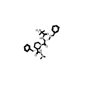 CN(C)NC(=O)[C@@]1(Cc2ccccc2)CCCN(C(=O)[C@@H](COCc2ccccc2)NC(=O)C(C)(C)N)C1